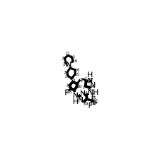 Cc1cc(Nc2nc(Nc3cc(C)c([C@H]4CC[C@H](N5CCCCC5)CC4)cc3F)ncc2C(F)(F)F)n[nH]1